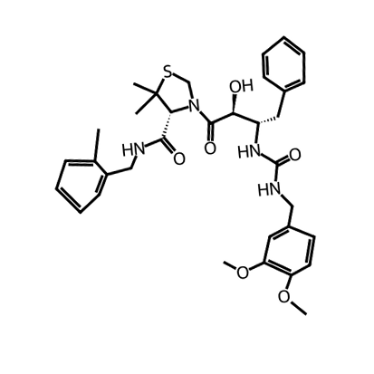 COc1ccc(CNC(=O)N[C@@H](Cc2ccccc2)[C@H](O)C(=O)N2CSC(C)(C)[C@H]2C(=O)NCc2ccccc2C)cc1OC